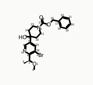 CO[C@@H](C)c1ncc(C2(O)CCN(C(=O)OCc3ccccc3)CC2)cc1Br